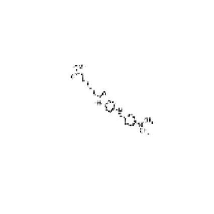 COC(=O)CCCCCCC(=O)Nc1ccc(N=Nc2ccc(N(C)C)cc2)cc1